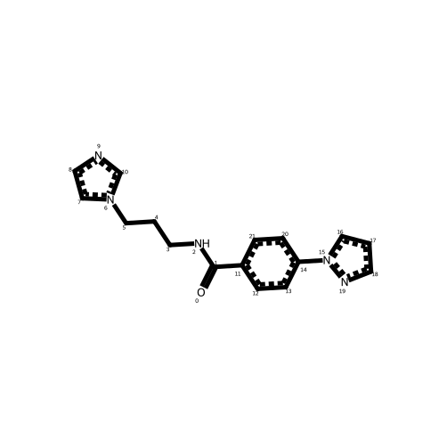 O=C(NCCCn1ccnc1)c1ccc(-n2cccn2)cc1